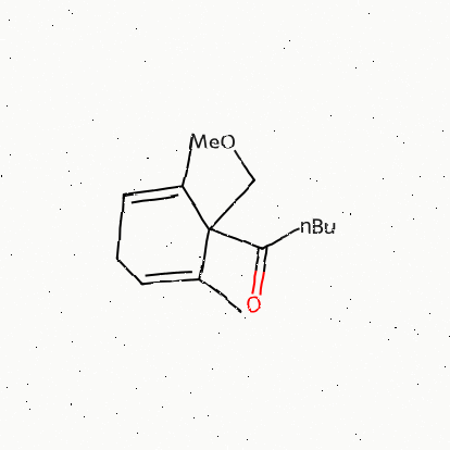 CCCCC(=O)C1(COC)C(C)=CCC=C1C